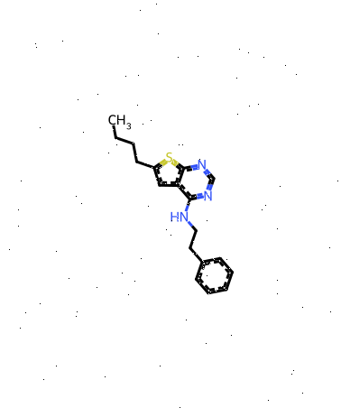 CCCCc1cc2c(NCCc3ccccc3)ncnc2s1